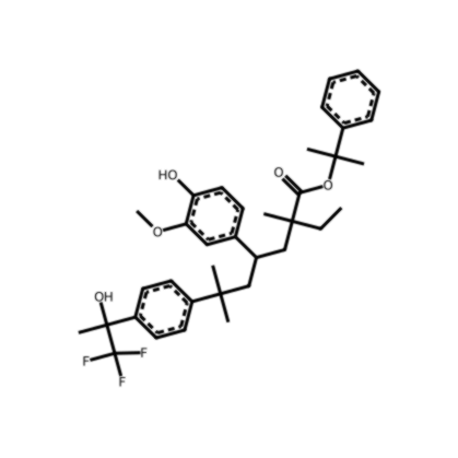 CCC(C)(CC(CC(C)(C)c1ccc(C(C)(O)C(F)(F)F)cc1)c1ccc(O)c(OC)c1)C(=O)OC(C)(C)c1ccccc1